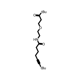 CC(C)(C)C#CCCCC(=O)NCCOCCC(=O)C(C)(C)C